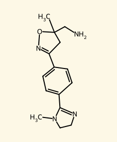 CN1CCN=C1c1ccc(C2=NOC(C)(CN)C2)cc1